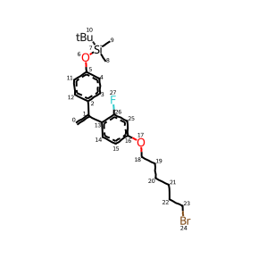 C=C(c1ccc(O[Si](C)(C)C(C)(C)C)cc1)c1ccc(OCCCCCCBr)cc1F